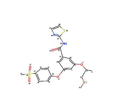 COCC(C)Oc1cc(Oc2ccc(S(C)(=O)=O)cc2)cc(C(=O)Nc2nccs2)c1